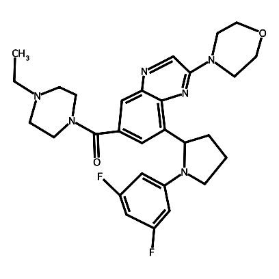 CCN1CCN(C(=O)c2cc(C3CCCN3c3cc(F)cc(F)c3)c3nc(N4CCOCC4)cnc3c2)CC1